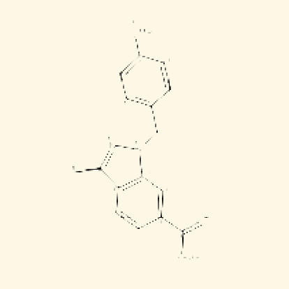 COC(=O)c1ccc2c(C)nn(Cc3ccc(OC)cc3)c2c1